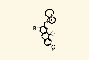 COc1ccc2sc3ccc(C[N+]4=C5CCCCCN5CCC4)cc3c(=O)c2c1.[Br-]